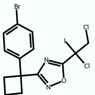 ClCC(Cl)(I)c1nc(C2(c3ccc(Br)cc3)CCC2)no1